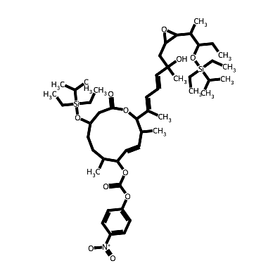 CCC(O[Si](CC)(CC)C(C)C)C(C)C1OC1CC(C)(O)/C=C/C=C(\C)C1OC(=O)CC(O[Si](CC)(CC)C(C)C)CCC(C)C(OC(=O)Oc2ccc([N+](=O)[O-])cc2)/C=C/C1C